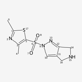 Cc1nc(C)c(S(=O)(=O)n2cc3c(n2)CNC3)s1